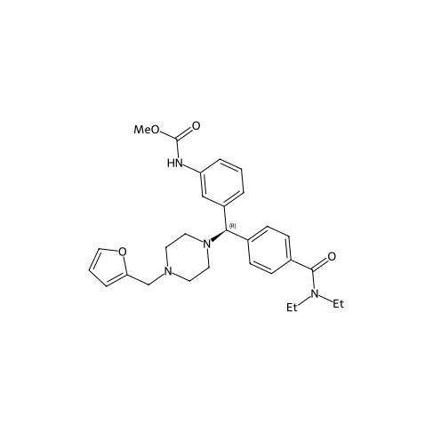 CCN(CC)C(=O)c1ccc([C@H](c2cccc(NC(=O)OC)c2)N2CCN(Cc3ccco3)CC2)cc1